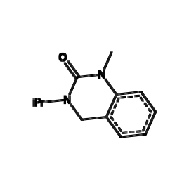 CC(C)N1Cc2ccccc2N(C)C1=O